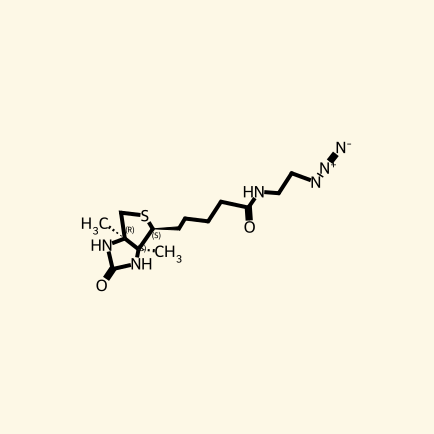 C[C@]12CS[C@@H](CCCCC(=O)NCCN=[N+]=[N-])[C@@]1(C)NC(=O)N2